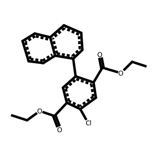 CCOC(=O)c1cc(-c2cccc3ccccc23)c(C(=O)OCC)cc1Cl